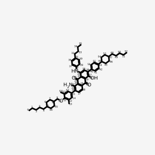 CCCCCC1CCC(COc2c(C)cc(-c3ccc4c(c3N)C(=O)c3c(Nc5ccc(CCCC)cc5)cc(-c5ccc(C6CCC(CCCCC)CC6)cc5)c(O)c3C4=O)cc2C)CC1